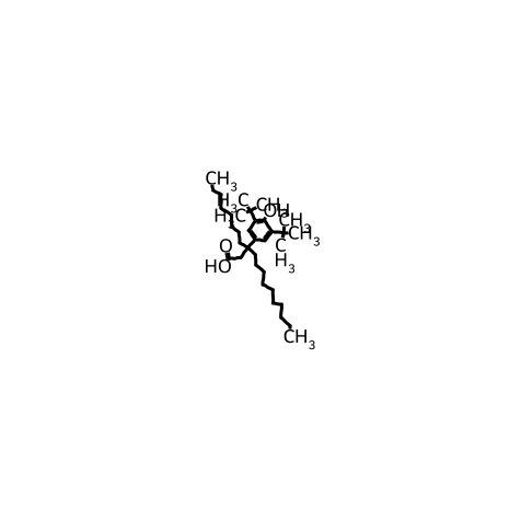 CCCCCCCCCCC(CCCCCCCC)(CC(=O)O)c1cc(C(C)(C)C)c(O)c(C(C)(C)C)c1